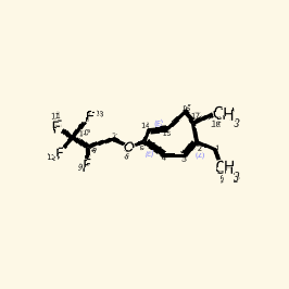 CC/C1=C/C=C(OCC(F)C(F)(F)F)\C=C\CC1C